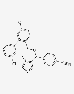 Cn1cncc1C(OCc1ccc(Cl)cc1-c1cccc(Cl)c1)c1ccc(C#N)cc1